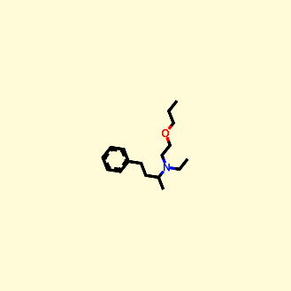 CCCOCCN(CC)C(C)CCc1ccccc1